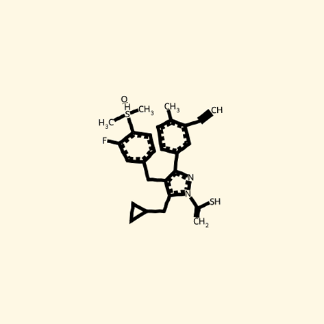 C#Cc1cc(-c2nn(C(=C)S)c(CC3CC3)c2Cc2ccc([SH](C)(C)=O)c(F)c2)ccc1C